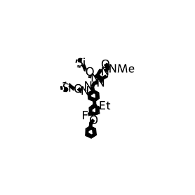 CCc1cc(OCc2ccccc2)c(F)cc1-c1ccc2c(-c3nc4c(n3COCC[Si](C)(C)C)CN(C(=O)NC)C4)nn(COCC[Si](C)(C)C)c2c1